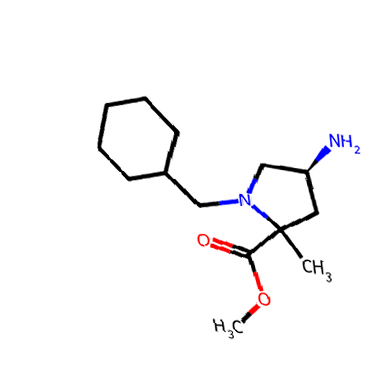 COC(=O)C1(C)C[C@H](N)CN1CC1CCCCC1